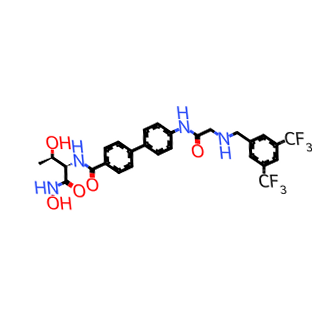 C[C@@H](O)[C@H](NC(=O)c1ccc(-c2ccc(NC(=O)CNCc3cc(C(F)(F)F)cc(C(F)(F)F)c3)cc2)cc1)C(=O)NO